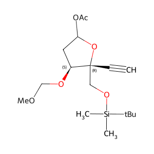 C#C[C@]1(CO[Si](C)(C)C(C)(C)C)OC(OC(C)=O)C[C@@H]1OCOC